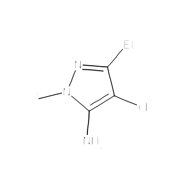 CCc1nn(C)c(N)c1Cl